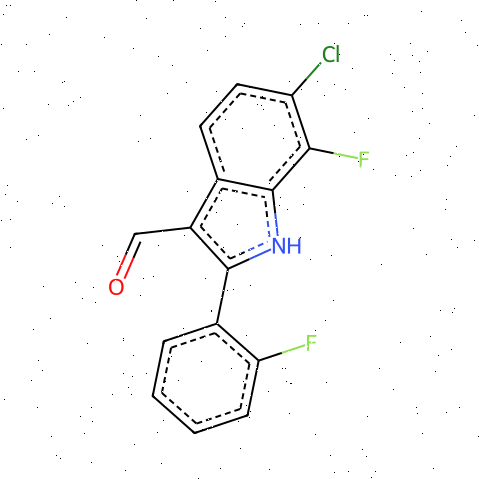 O=Cc1c(-c2ccccc2F)[nH]c2c(F)c(Cl)ccc12